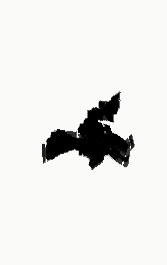 CCN(CC)c1ccc(/N=N/c2ccc(-c3nc4ccc(C)cc4s3)cc2)c(Nc2nc(Nc3cc(N(CC)CC)ccc3/N=N/c3ccc(-c4nc5ccc(C)c(S(=O)(=O)O)c5s4)cc3)nc(N(CCO)CCO)n2)c1